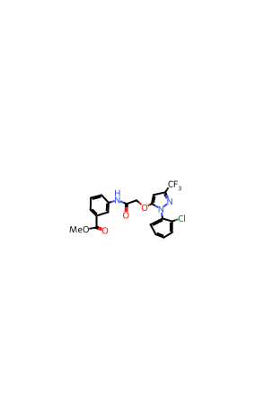 COC(=O)c1cccc(NC(=O)COc2cc(C(F)(F)F)nn2-c2ccccc2Cl)c1